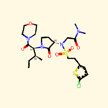 CC[C@H](C)[C@@H](C(=O)N1CCOCC1)N1CC[C@H](N(CC(=O)N(C)C)S(=O)(=O)CCc2ccc(Cl)s2)C1=O